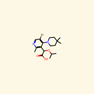 Cc1ncc(Br)c(N2CCC(C)(C)CC2)c1C(OC(C)C)C(=O)O